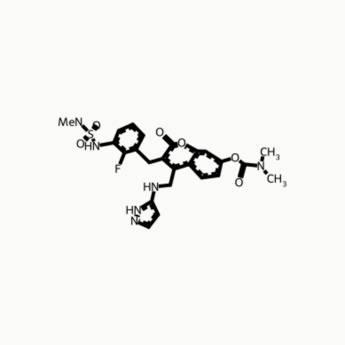 CNS(=O)(=O)Nc1cccc(Cc2c(CNc3ccn[nH]3)c3ccc(OC(=O)N(C)C)cc3oc2=O)c1F